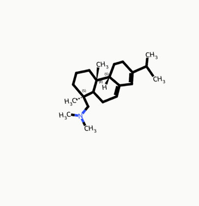 CC(C)C1=CC2=CCC3[C@@](C)(CN(C)C)CCC[C@]3(C)[C@@H]2CC1